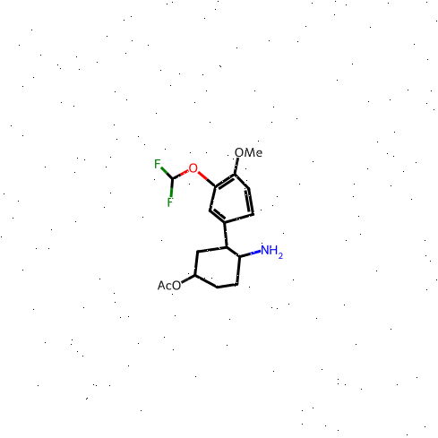 COc1ccc(C2CC(OC(C)=O)CCC2N)cc1OC(F)F